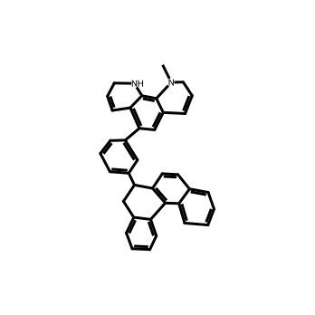 CN1CC=Cc2cc(-c3cccc(C4Cc5ccccc5-c5c4ccc4ccccc54)c3)c3c(c21)NCC=C3